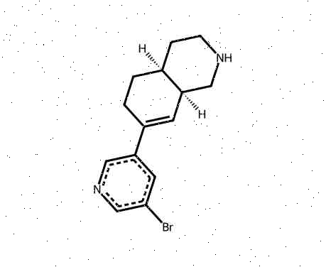 Brc1cncc(C2=C[C@@H]3CNCC[C@@H]3CC2)c1